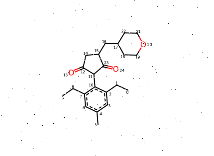 CCc1cc(C)cc(CC)c1C1C(=O)CC(CC2CCOCC2)C1=O